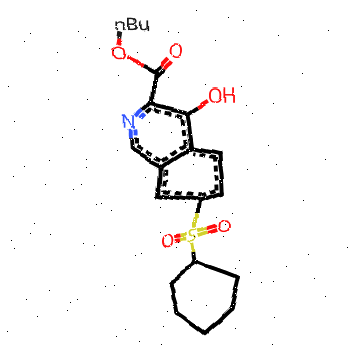 CCCCOC(=O)c1ncc2cc(S(=O)(=O)C3CCCCC3)ccc2c1O